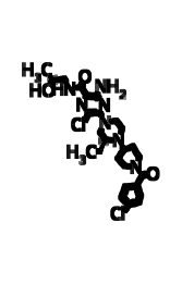 CC[C@H]1CN(c2nc(N)c(C(=O)NC[C@H](C)O)nc2Cl)CCN1C1CCN(C(=O)c2ccc(Cl)cc2)CC1